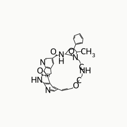 CC1C(c2ccccc2)CC2NC(=O)c3cnc4c(c3)C[C@@]3(C4)C(=O)Nc4ncc(cc43)C=CCOCCNCCN1C2=O